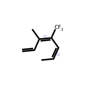 C=C/C(C)=C(\C=C/C)C(F)(F)F